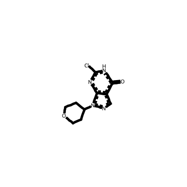 O=c1[nH]c(Cl)nc2c1cnn2C1CCOCC1